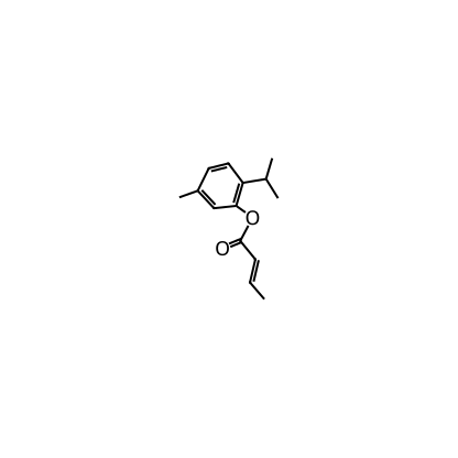 C/C=C/C(=O)Oc1cc(C)ccc1C(C)C